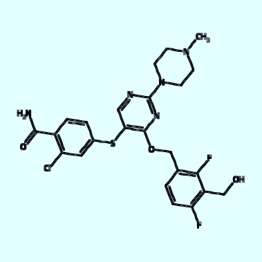 CN1CCN(c2ncc(Sc3ccc(C(N)=O)c(Cl)c3)c(OCc3ccc(F)c(CO)c3F)n2)CC1